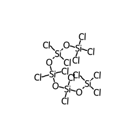 Cl[Si](Cl)(Cl)O[Si](Cl)(Cl)O[Si](Cl)(Cl)O[Si](Cl)(Cl)O[Si](Cl)(Cl)Cl